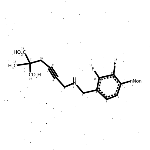 CCCCCCCCCc1ccc(CNCC#CCC(C)(C(=O)O)C(=O)O)c(F)c1F